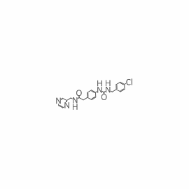 O=C(Cc1ccc(NC(=O)NCc2ccc(Cl)cc2)cc1)NCc1cnccn1